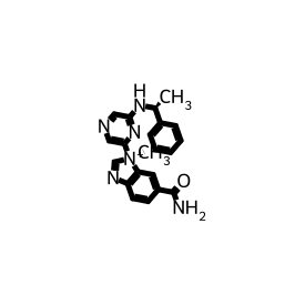 C[C@H](Nc1cncc([N+]2(C)C=Nc3ccc(C(N)=O)cc32)n1)c1ccccc1